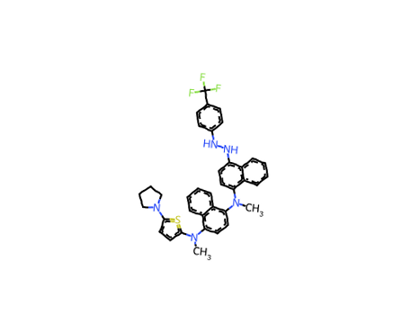 CN(c1ccc(N2CCCC2)s1)c1ccc(N(C)c2ccc(NNc3ccc(C(F)(F)F)cc3)c3ccccc23)c2ccccc12